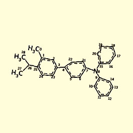 Cc1cc(-c2ccc(N(c3ccccc3)c3ccccc3)cc2)ccc1C(C)C